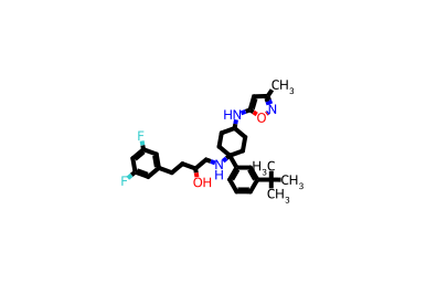 Cc1cc(NC2CCC(NCC(O)CCc3cc(F)cc(F)c3)(c3cccc(C(C)(C)C)c3)CC2)on1